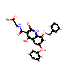 O=C(O)CNC(=O)c1c(O)c2cc(Oc3ccccc3)cc(OCc3ccccc3)c2[nH]c1=O